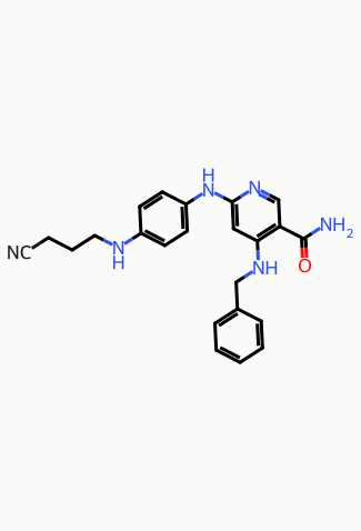 N#CCCCNc1ccc(Nc2cc(NCc3ccccc3)c(C(N)=O)cn2)cc1